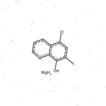 Oc1c(I)cc(Cl)c2cccnc12.[MgH2]